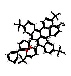 CC(C)(C)c1ccc(-c2c3ccc(C(C)(C)C)cc3c(-c3ccc(-c4ccccc4)cc3)c3c(-c4ccc(C(C)(C)C)cc4)c4ccc(C(C)(C)C)cc4c(-c4ccc(P)cc4)c23)cc1